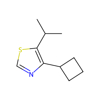 CC(C)c1scnc1C1CCC1